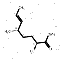 CC=C[C@@H](C)CC[C@H](C)C(=O)OC